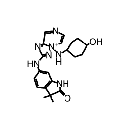 CC1(C)C(=O)Nc2cc(NC3=N[N+]4(NC5CCC(O)CC5)C=CN=CC4=N3)ccc21